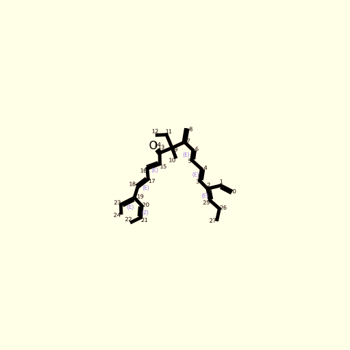 C=CC(/C=C/C=C/C(=C)C(C)(CC)C(=O)/C=C/C=C/C(/C=C\C)=C/C)=C\CC